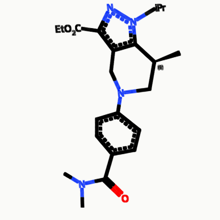 CCOC(=O)c1nn(C(C)C)c2c1CN(c1ccc(C(=O)N(C)C)cc1)C[C@@H]2C